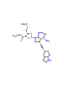 C=CC(=O)N1CC(n2nc(C#Cc3ccc4[nH]cnc4c3)c3c(N)ncnc32)C[C@@H]1CCOC